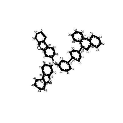 C1=Cc2c(oc3cc(N(c4cccc(-c5ccc(-c6cc7ccccc7c7ccccc67)cc5)c4)c4ccc5c(c4)sc4ccccc45)ccc23)CC1